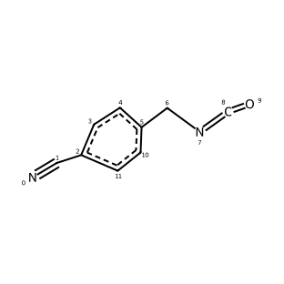 N#Cc1ccc(CN=C=O)cc1